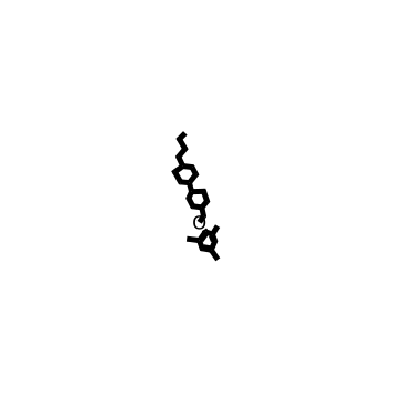 CCCCC1CCC(C2CCC(COc3c(C)cc(C)cc3C)CC2)CC1